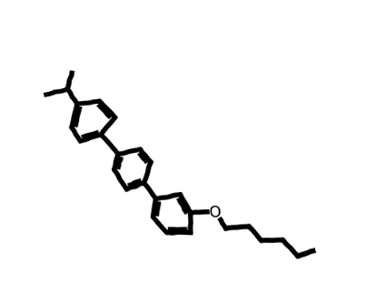 CCCCCCOc1cccc(-c2ccc(-c3ccc(C(C)C)cc3)cc2)c1